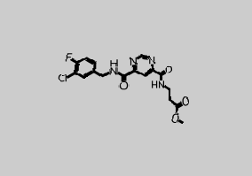 COC(=O)CCNC(=O)c1cc(C(=O)NCc2ccc(F)c(Cl)c2)ncn1